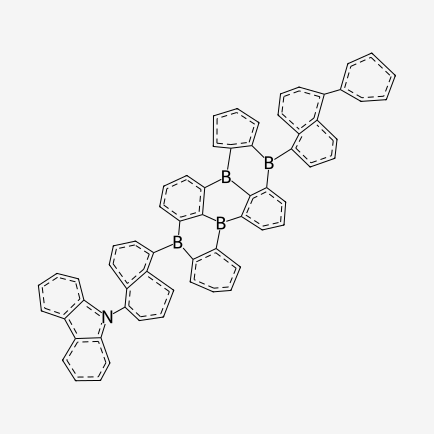 c1ccc(-c2cccc3c(B4c5ccccc5B5c6cccc7c6B(c6ccccc6B7c6cccc7c(-n8c9ccccc9c9ccccc98)cccc67)c6cccc4c65)cccc23)cc1